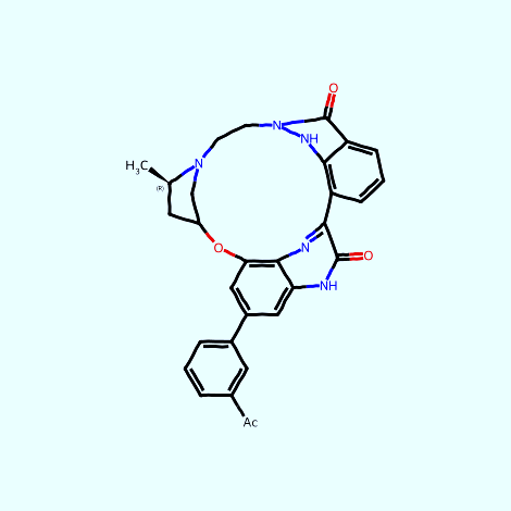 CC(=O)c1cccc(-c2cc3c4nc(c(=O)[nH]c4c2)-c2cccc4c(=O)n([nH]c24)CCN2CC(C[C@H]2C)O3)c1